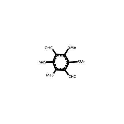 CSc1c(C=O)c(SC)c(SC)c(C=O)c1SC